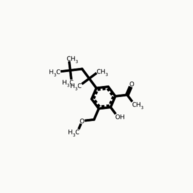 COCc1cc(C(C)(C)CC(C)(C)C)cc(C(C)=O)c1O